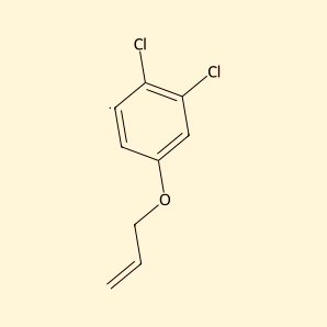 C=CCOc1c[c]c(Cl)c(Cl)c1